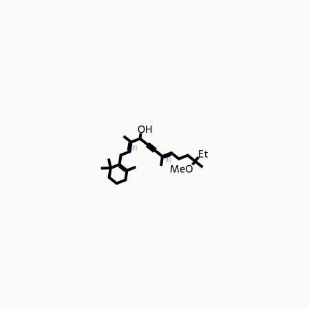 CCC(C)(CC/C=C(\C)C#CC(O)/C(C)=C/CC1=C(C)CCCC1(C)C)OC